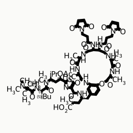 CC[C@H](C)[C@H](NC(=O)C(C)(C)N(C)C)C(=O)N(C)[C@H](C[C@@H](OC(C)=O)c1nc(C(=O)N[C@@H](Cc2ccc3c(c2)NC(=O)C(C)NC(=O)C(C)NC(=O)C(NC(=O)CCN2C(=O)C=CC2=O)C(NC(=O)CCN2C(=O)C=CC2=O)C(=O)NC(C)C(=O)NC(C)C(=O)O3)CC(C)C(=O)O)cs1)C(C)C